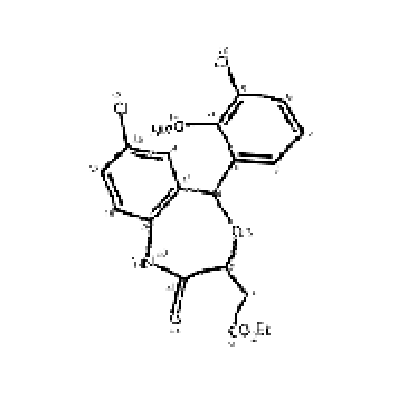 CCOC(=O)CC1OC(c2cccc(Cl)c2OC)c2cc(Cl)ccc2NC1=O